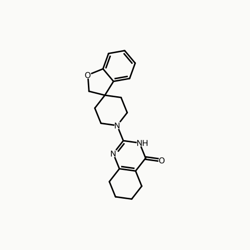 O=c1[nH]c(N2CCC3(CC2)COc2ccccc23)nc2c1CCCC2